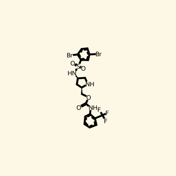 O=C(Nc1ccccc1C(F)(F)F)OC[C@H]1C[C@@H](NS(=O)(=O)c2cc(Br)ccc2Br)CN1